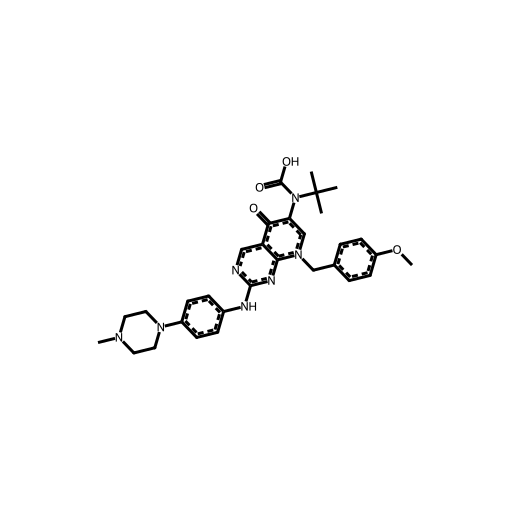 COc1ccc(Cn2cc(N(C(=O)O)C(C)(C)C)c(=O)c3cnc(Nc4ccc(N5CCN(C)CC5)cc4)nc32)cc1